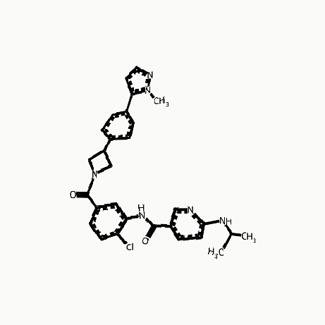 CC(C)Nc1ccc(C(=O)Nc2cc(C(=O)N3CC(c4ccc(-c5ccnn5C)cc4)C3)ccc2Cl)cn1